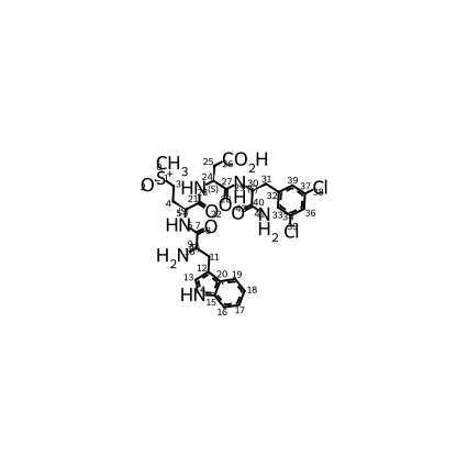 C[S+]([O-])CC[C@H](NC(=O)[C@H](N)Cc1c[nH]c2ccccc12)C(=O)N[C@@H](CC(=O)O)C(=O)N[C@@H](Cc1cc(Cl)cc(Cl)c1)C(N)=O